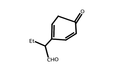 CCC(C=O)C1=CCC(=O)C=C1